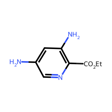 CCOC(=O)c1ncc(N)cc1N